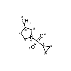 C[C@@H]1CCN(S(=O)(=O)C2CC2)C1